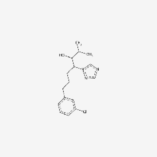 CC(C)C(O)C(CCCc1cccc(Cl)c1)n1cncn1